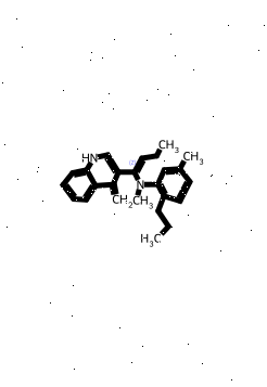 C=C1C(/C(=C/CC)N(C)c2cc(C)ccc2CCC)=CNc2ccccc21